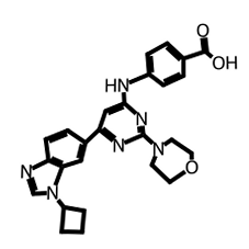 O=C(O)c1ccc(Nc2cc(-c3ccc4ncn(C5CCC5)c4c3)nc(N3CCOCC3)n2)cc1